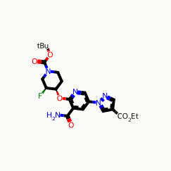 CCOC(=O)c1cnn(-c2cnc(O[C@@H]3CCN(C(=O)OC(C)(C)C)C[C@@H]3F)c(C(N)=O)c2)c1